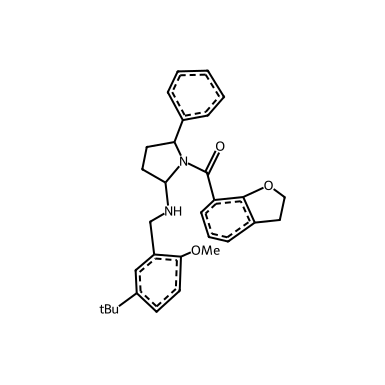 COc1ccc(C(C)(C)C)cc1CNC1CCC(c2ccccc2)N1C(=O)c1cccc2c1OCC2